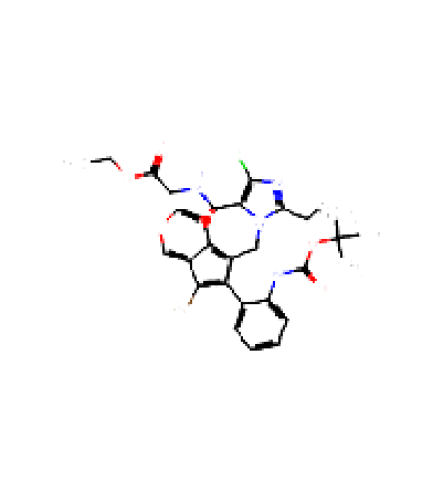 CCOC(=O)CNC(=O)c1c(Cl)nc(CC)n1Cc1c2ccocc-2c(Br)c1-c1ccccc1NC(=O)OC(C)(C)C